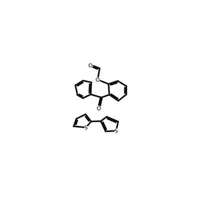 O=COc1ccccc1C(=O)c1ccccc1.c1csc(-c2ccsc2)c1